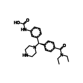 CCN(CC)C(=O)c1ccc([C@H](c2cccc(NC(=O)O)c2)N2CCNCC2)cc1